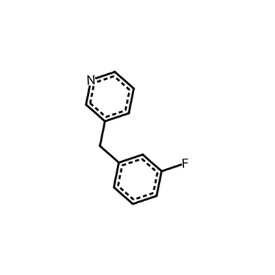 Fc1cccc(Cc2cccnc2)c1